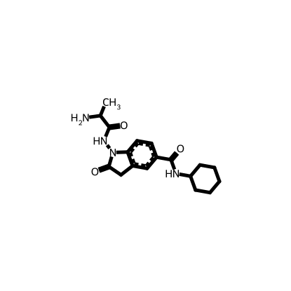 CC(N)C(=O)NN1C(=O)Cc2cc(C(=O)NC3CCCCC3)ccc21